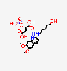 COc1cc2ccc(NCCCCCO)nc2cc1OC.O=C(O)C=CC(=O)O.O=[N+]([O-])O